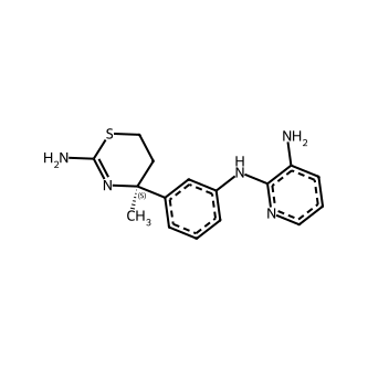 C[C@@]1(c2cccc(Nc3ncccc3N)c2)CCSC(N)=N1